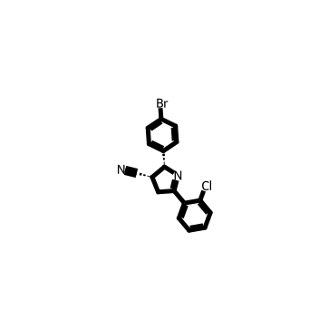 N#C[C@H]1CC(c2ccccc2Cl)=N[C@H]1c1ccc(Br)cc1